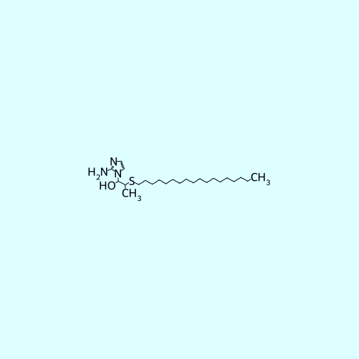 CCCCCCCCCCCCCCCCCCSC(C)C(O)n1ccnc1N